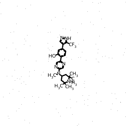 CN(c1cnc(-c2ccc(-c3cn[nH]c3C(F)(F)F)cc2O)cn1)C1CC(C)(C)NC(C)(C)C1